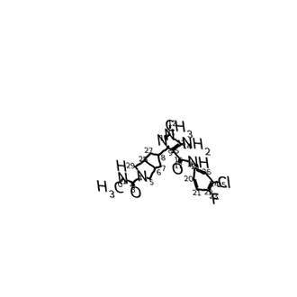 CNC(=O)N1CC2CC(c3nn(C)c(N)c3C(=O)Nc3ccc(F)c(Cl)c3)CC2C1